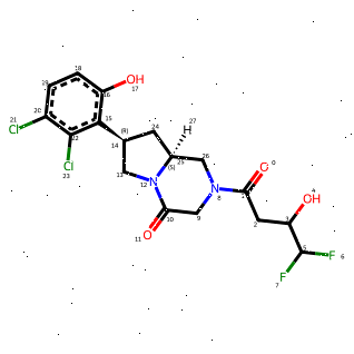 O=C(CC(O)C(F)F)N1CC(=O)N2C[C@@H](c3c(O)ccc(Cl)c3Cl)C[C@H]2C1